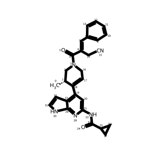 C[C@@H]1CN(C(=O)/C(=C/c2ccccc2)CC#N)CC=C1c1cc(NC(=O)C2CC2)nc2[nH]ccc12